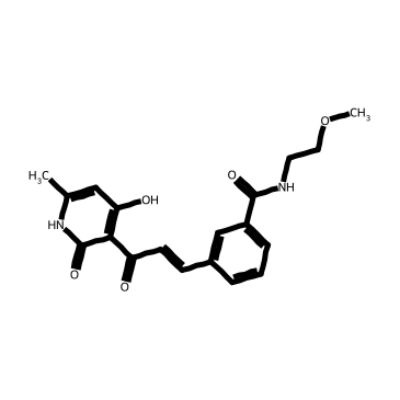 COCCNC(=O)c1cccc(C=CC(=O)c2c(O)cc(C)[nH]c2=O)c1